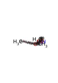 CCCCCCCCCCCCCCCCCCOc1ccc(C(C)C(=O)NSC(=O)c2ccccc2C)cc1